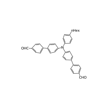 CCCCCCc1ccc(N(c2ccc(-c3ccc(C=O)cc3)cc2)c2ccc(-c3ccc(C=O)cc3)cc2)cc1